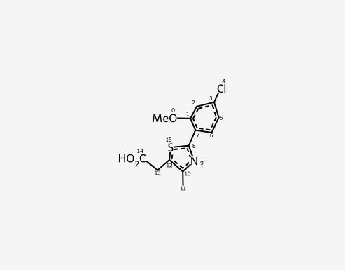 COc1cc(Cl)ccc1-c1nc(C)c(CC(=O)O)s1